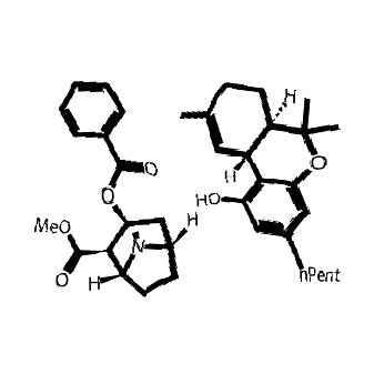 CCCCCc1cc(O)c2c(c1)OC(C)(C)[C@@H]1CCC(C)=C[C@@H]21.COC(=O)[C@H]1[C@@H](OC(=O)c2ccccc2)C[C@@H]2CC[C@H]1N2C